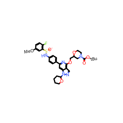 COc1ccc(F)c([S+]([O-])Nc2ccc(-c3cc4c(cnn4C4CCCCO4)c(OCC4CN(C(=O)OC(C)(C)C)CCO4)n3)cc2)c1